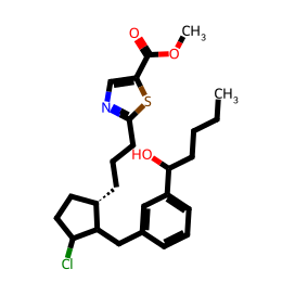 CCCCC(O)c1cccc(CC2C(Cl)CC[C@@H]2CCCc2ncc(C(=O)OC)s2)c1